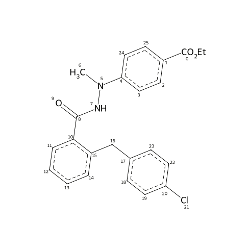 CCOC(=O)c1ccc(N(C)NC(=O)c2ccccc2Cc2ccc(Cl)cc2)cc1